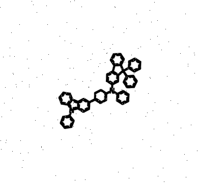 C1=C(c2ccc3c(c2)c2ccccc2n3-c2ccccc2)CCC(N(c2ccccc2)c2ccc3c(c2)C(c2ccccc2)(c2ccccc2)c2ccccc2-3)=C1